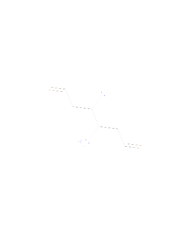 NC(CC=S)C(N)CC=S